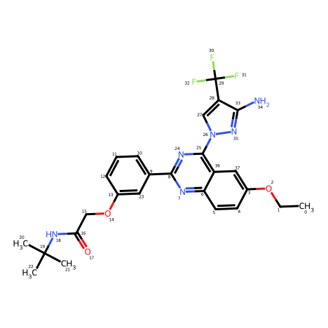 CCOc1ccc2nc(-c3cccc(OCC(=O)NC(C)(C)C)c3)nc(-n3cc(C(F)(F)F)c(N)n3)c2c1